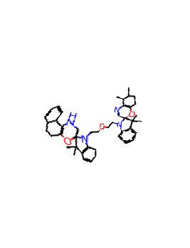 CC1CCC2=C(N=CC3(O2)N(CCOCCN2C4=C(C=CCC4)C(C)(C)C24CNC2=C(CCC5C=CC=CC25)O4)c2ccccc2C3(C)C)C1C